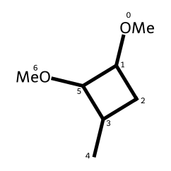 COC1CC(C)C1OC